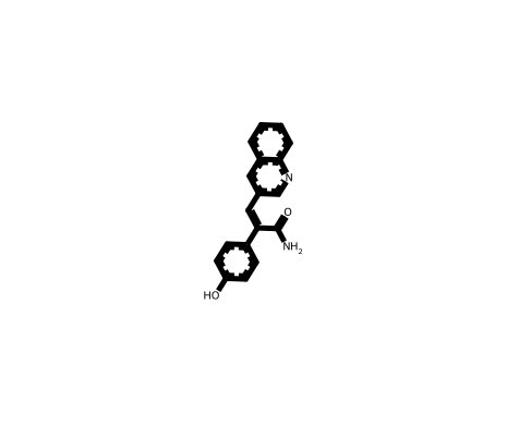 NC(=O)/C(=C\c1cnc2ccccc2c1)c1ccc(O)cc1